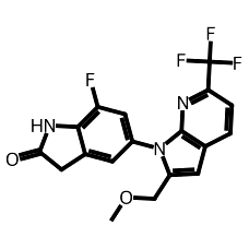 COCc1cc2ccc(C(F)(F)F)nc2n1-c1cc(F)c2c(c1)CC(=O)N2